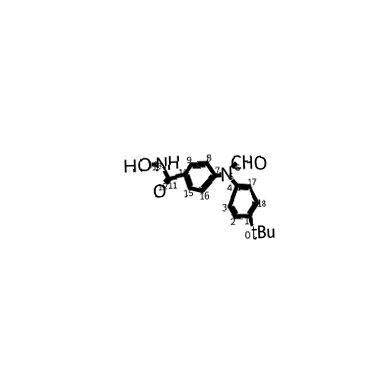 CC(C)(C)c1ccc(N(C=O)c2ccc(C(=O)NO)cc2)cc1